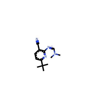 CN(C)/C=N\c1nc(C(C)(C)C)ccc1C#N